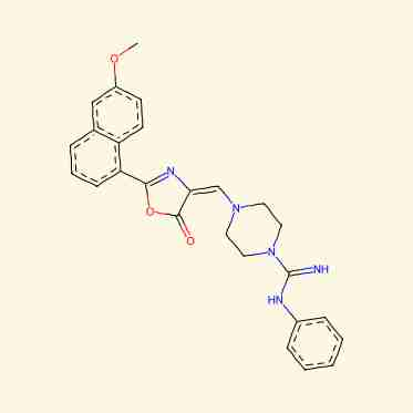 COc1ccc2c(C3=N/C(=C/N4CCN(C(=N)Nc5ccccc5)CC4)C(=O)O3)cccc2c1